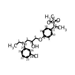 CCN(CC(O)COc1ccc(N(C)S(C)(=O)=O)cc1)c1cccc(Cl)c1